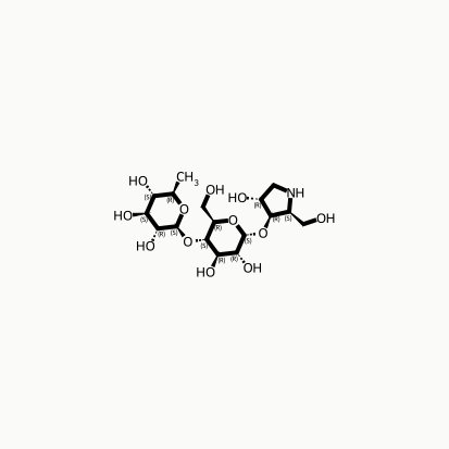 C[C@H]1O[C@@H](O[C@H]2[C@H](O)[C@@H](O)[C@@H](O[C@H]3[C@H](O)CN[C@H]3CO)O[C@@H]2CO)[C@H](O)[C@@H](O)[C@@H]1O